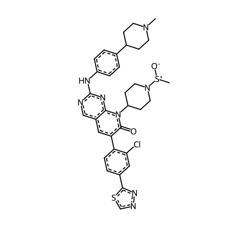 CN1CCC(c2ccc(Nc3ncc4cc(-c5ccc(-c6nncs6)cc5Cl)c(=O)n(C5CCN([S+](C)[O-])CC5)c4n3)cc2)CC1